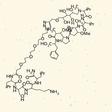 CCC(C)C(C(CC(=O)N1CCCC1C(OC)C(C)C(=O)NC(Cc1ccccc1)C(=O)O)OC)N(C)C(=O)C(NC(=O)C(C(C)C)N(C)CC(O)C(O)C(O)C(O)COCc1cn(CCOCCOCCOCCOCCC(=O)NC(CC(C)C)C(=O)NC(CO)C(=O)NC(CCCCN)C(=O)NC(CC(C)C)C(N)=O)nn1)C(C)C